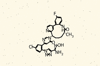 C[C@@H]1CCC[C@H](n2cnc(-c3cc(Cl)ccc3-n3cc(C(N)=NO)nn3)cc2=O)c2cc(ccn2)-c2cc(F)ccc2NC1=O